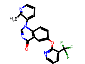 Bc1ncccc1-n1cnc(=O)c2cc(Oc3ncccc3C(F)(F)F)ccc21